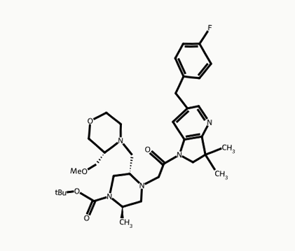 COC[C@@H]1COCCN1C[C@H]1CN(C(=O)OC(C)(C)C)[C@H](C)CN1CC(=O)N1CC(C)(C)c2ncc(Cc3ccc(F)cc3)cc21